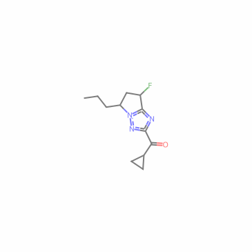 CCCC1CC(F)c2nc(C(=O)C3CC3)nn21